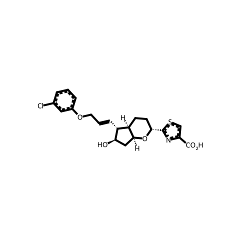 O=C(O)c1csc([C@H]2CC[C@@H]3[C@@H](/C=C/COc4cccc(Cl)c4)[C@H](O)C[C@@H]3O2)n1